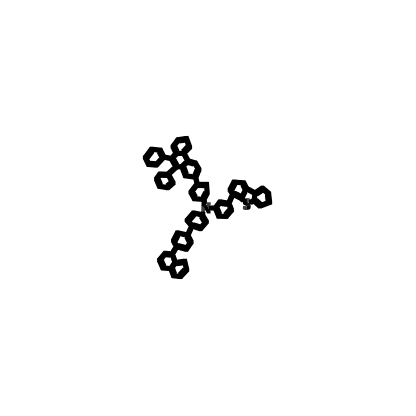 c1ccc(-c2c(-c3ccccc3)c3cc(-c4ccc(N(c5ccc(-c6ccc(-c7cccc8ccccc78)cc6)cc5)c5cccc(-c6cccc7c6sc6ccccc67)c5)cc4)ccc3c3ccccc23)cc1